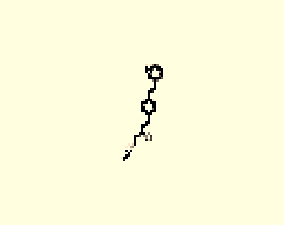 CCOCCC(=O)C=Cc1ccc(C=Cc2cccnc2)cc1